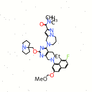 CCc1c(F)ccc2cc(OCOC)cc(N3CCc4c(nc(OCC56CCCN5CCC6)nc4N4CCCn5nc(C(=O)N(C)C)cc5C4)C3)c12